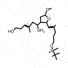 COC1CC(C([SiH3])C/C(C)=C/CCO)C(/C=C(\C)CCCO[Si](C)(C)C(C)(C)C)O1